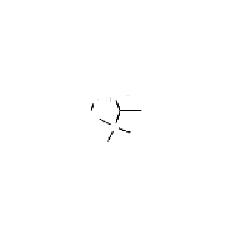 CCC([N+](C)(C)C)S(=O)(=O)O.O=S(=O)([O-])O